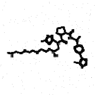 CNCCOCCOCCO[C@@H](O)C[C@H](C(=O)N1CCCC1C(=O)N[C@@H](C)c1ccc(-c2scnc2C)cc1)c1cc(C)no1